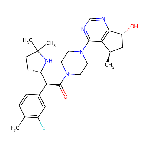 C[C@@H]1C[C@@H](O)c2ncnc(N3CCN(C(=O)[C@@H](c4ccc(C(F)(F)F)c(F)c4)[C@@H]4CCC(C)(C)N4)CC3)c21